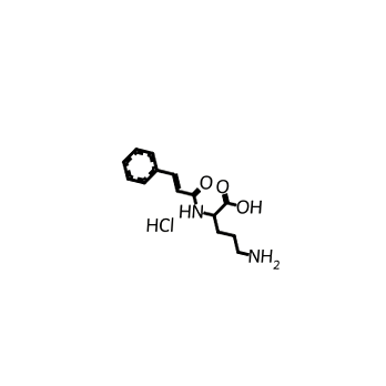 Cl.NCCCC(NC(=O)C=Cc1ccccc1)C(=O)O